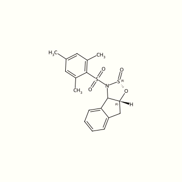 Cc1cc(C)c(S(=O)(=O)N2C3c4ccccc4C[C@H]3O[S@]2=O)c(C)c1